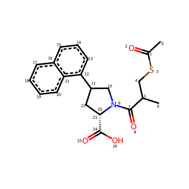 CC(=O)SCC(C)C(=O)N1CC(c2cccc3ccccc23)C[C@H]1C(=O)O